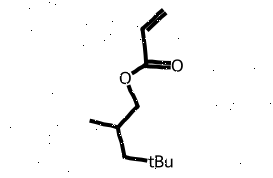 C=CC(=O)OCC(C)CC(C)(C)C